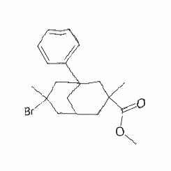 COC(=O)C1(C)CC2CC(C)(Br)CC(c3ccccc3)(C2)C1